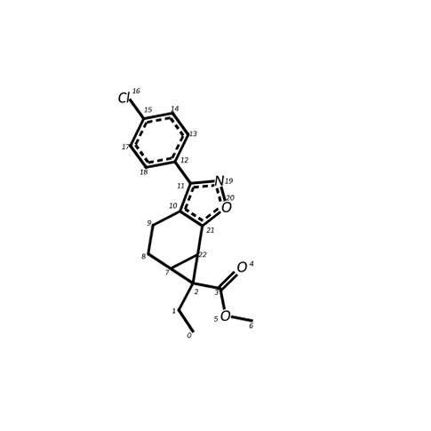 CCC1(C(=O)OC)C2CCc3c(-c4ccc(Cl)cc4)noc3C21